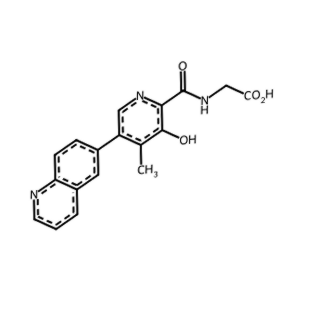 Cc1c(-c2ccc3ncccc3c2)cnc(C(=O)NCC(=O)O)c1O